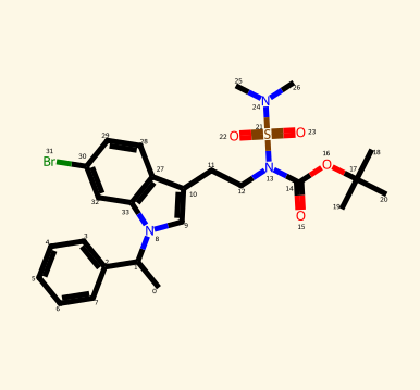 CC(c1ccccc1)n1cc(CCN(C(=O)OC(C)(C)C)S(=O)(=O)N(C)C)c2ccc(Br)cc21